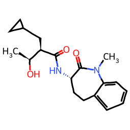 C[C@H](O)[C@@H](CC1CC1)C(=O)N[C@H]1CCc2ccccc2N(C)C1=O